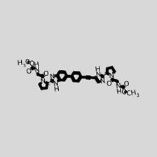 COC(=O)NCC(=O)N1CCC[C@H]1c1ncc(C#Cc2ccc(-c3ccc4nc([C@@H]5CCCN5C(=O)CNC(=O)OC)[nH]c4c3)cc2)[nH]1